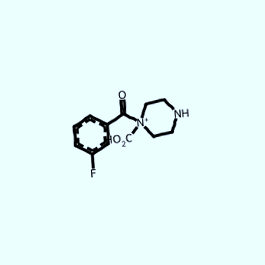 O=C(O)[N+]1(C(=O)c2cccc(F)c2)CCNCC1